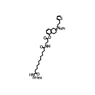 CCCCCCNC(=O)CCCCCCCCCCC(=O)NCCC(=O)Oc1cccc2c1CC[C@H](N(CCC)CCc1cccs1)C2